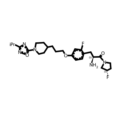 CC(C)c1noc(N2CCC(CCCOc3ccc(C[C@H](N)C(=O)N4CC[C@H](F)C4)c(F)c3)CC2)n1